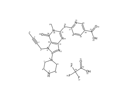 CC#CCn1c(N2CCNCC2)nc2nc(Sc3ccc(C(=O)O)cn3)n(C)c(=O)c21.O=C(O)C(F)(F)F